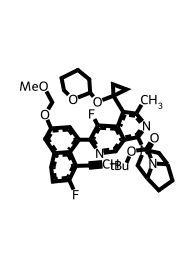 C#Cc1c(F)ccc2cc(OCOC)cc(-c3ncc4c(N5CC6CCC(C5)N6C(=O)OC(C)(C)C)nc(C)c(C5(OC6CCCCO6)CC5)c4c3F)c12